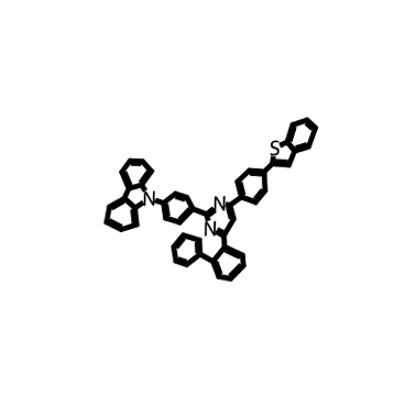 c1ccc(-c2ccccc2-c2cc(-c3ccc(-c4cc5ccccc5s4)cc3)nc(-c3ccc(-n4c5ccccc5c5ccccc54)cc3)n2)cc1